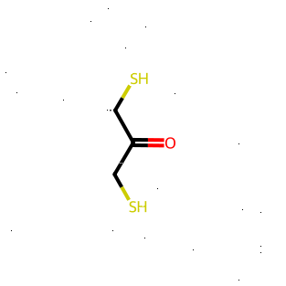 O=C([CH]S)CS